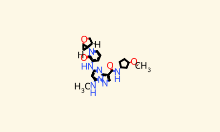 CNc1cc(Nc2cccn([C@]34C5OC[C@@H]3[C@H]54)c2=O)nc2c(C(=O)N[C@@H]3CC[C@@H](OC)C3)cnn12